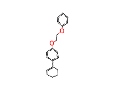 C1=C(c2ccc(OCCOc3ccccc3)cc2)CCCC1